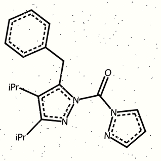 CC(C)c1nn(C(=O)n2cccn2)c(Cc2ccccc2)c1C(C)C